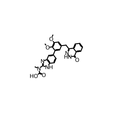 COc1cc(Cc2n[nH]c(=O)c3ccccc23)cc(-c2ccc3[nH]c(N(C)C(=O)O)nc3c2)c1OC